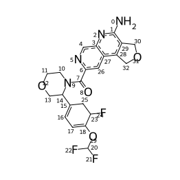 Nc1nc2cnc(C(=O)N3CCOCC3C3=CC=C(OC(F)F)C(F)C3)cc2c2c1COC2